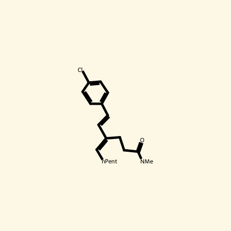 CCCCC/C=C(/C=C/c1ccc(Cl)cc1)CCC(=O)NC